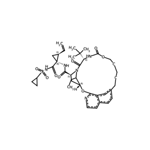 C=C[C@@H]1C[C@]1(NC(=O)[C@@H]1C[C@H]2Oc3nccc4ccc(cc34)CCCCCOC(=O)N[C@@H](C(C)(C)C)C(=O)N1C2CC)C(=O)NS(=O)(=O)C1CC1